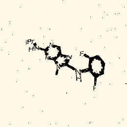 CC(C)Nc1ncc2nc(Nc3c(F)cccc3F)n(C)c2n1